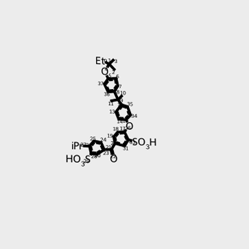 CCC(C)(C)Oc1ccc(C(C)(C)c2ccc(Oc3ccc(C(=O)c4ccc(C(C)C)c(S(=O)(=O)O)c4)cc3S(=O)(=O)O)cc2)cc1